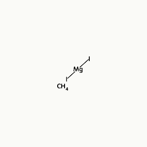 C.[I][Mg][I]